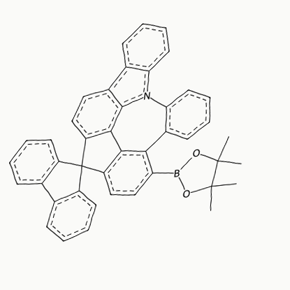 CC1(C)OB(c2ccc3c4c2-c2ccccc2-n2c5ccccc5c5ccc(c-4c52)C32c3ccccc3-c3ccccc32)OC1(C)C